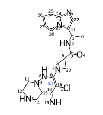 CC(NC(=O)C1CN(/C(NN2CCNCC2)=C(\Cl)C=N)C1)c1cnc2ccccn12